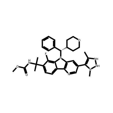 COC(=O)NC(C)(C)c1ccc2c3ncc(C4=C(C)NNN4C)cc3n([C@H](c3ccccc3)C3CCOCC3)c2c1F